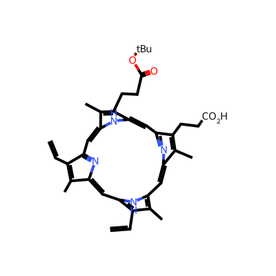 C=CC1=C(C)c2cc3[nH]c(cc4nc(cc5[nH]c(cc1n2)c(C)c5CCC(=O)OC(C)(C)C)C(CCC(=O)O)=C4C)c(C)c3C=C